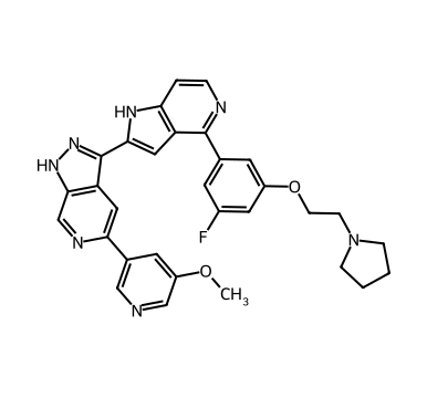 COc1cncc(-c2cc3c(-c4cc5c(-c6cc(F)cc(OCCN7CCCC7)c6)nccc5[nH]4)n[nH]c3cn2)c1